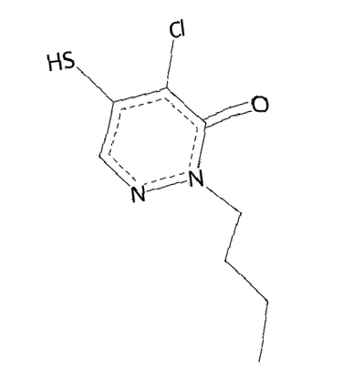 CCCCn1ncc(S)c(Cl)c1=O